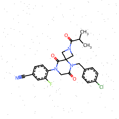 CC(C)C(=O)N1CC2(C1)C(=O)N(c1ccc(C#N)cc1F)CC(=O)N2Cc1ccc(Cl)cc1